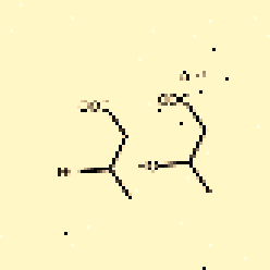 CC(O)CC(=O)[O-].CC(O)CC(=O)[O-].[Zn+2]